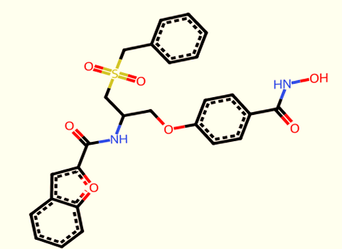 O=C(NO)c1ccc(OCC(CS(=O)(=O)Cc2ccccc2)NC(=O)c2cc3ccccc3o2)cc1